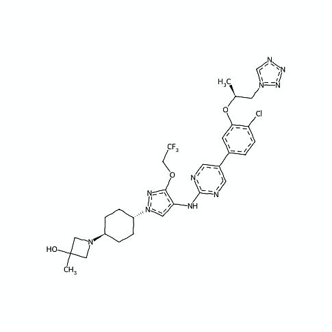 C[C@@H](Cn1cnnn1)Oc1cc(-c2cnc(Nc3cn([C@H]4CC[C@H](N5CC(C)(O)C5)CC4)nc3OCC(F)(F)F)nc2)ccc1Cl